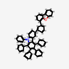 c1ccc(-c2c(-c3ccccc3)c(-c3ccccc3)c3c(c2-c2ccccc2)c2cc(-c4cccc(-c5cccc6c5oc5ccccc56)c4)ccc2n3-c2ccccc2)cc1